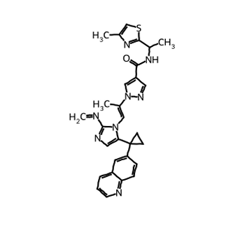 C=Nc1ncc(C2(c3ccc4ncccc4c3)CC2)n1/C=C(\C)n1cc(C(=O)NC(C)c2nc(C)cs2)cn1